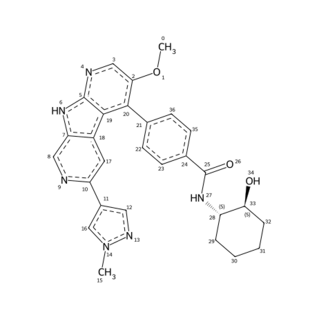 COc1cnc2[nH]c3cnc(-c4cnn(C)c4)cc3c2c1-c1ccc(C(=O)N[C@H]2CCCC[C@@H]2O)cc1